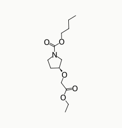 CCCCOC(=O)N1CC[C@H](OCC(=O)OCC)C1